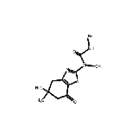 CN(C(=O)NC(C)(C)C)c1nc2c(s1)C(=O)CC(C)(C)C2